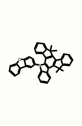 CC1(C)c2ccccc2-c2c1c1c(c3c4ccccc4n(-c4ccc5oc6ccccc6c5c4)c23)C(C)(C)c2ccccc2-1